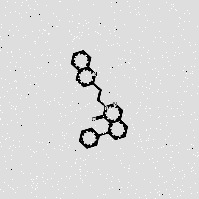 O=c1c2c(-c3ccccc3)cccc2cnn1CCc1ccc2ccccc2n1